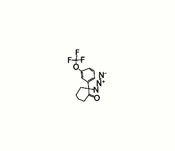 [N-]=[N+]=NC1(c2cccc(OC(F)(F)F)c2)CCCCC1=O